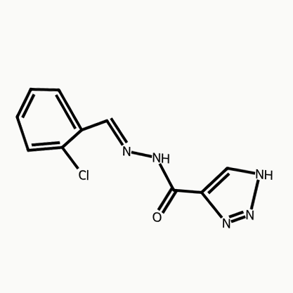 O=C(NN=Cc1ccccc1Cl)c1c[nH]nn1